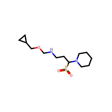 O=[SH](=O)C(CCNCOCC1CC1)N1CC[CH]CC1